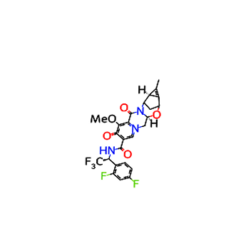 COc1c2n(cc(C(=O)N[C@@H](c3ccc(F)cc3F)C(F)(F)F)c1=O)C[C@@H]1OC3CC([C@H]4C(C)=C34)N1C2=O